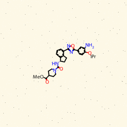 COC(=O)C1CCN(C(=O)N[C@H]2CCc3c(-c4noc(-c5ccc(OC(C)C)c(N)c5)n4)cccc32)CC1